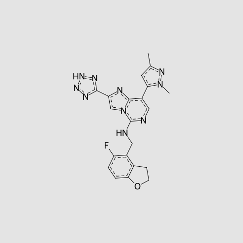 Cc1cc(-c2cnc(NCc3c(F)ccc4c3CCO4)n3cc(-c4nn[nH]n4)nc23)n(C)n1